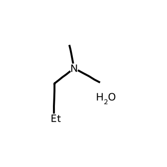 CCCN(C)C.O